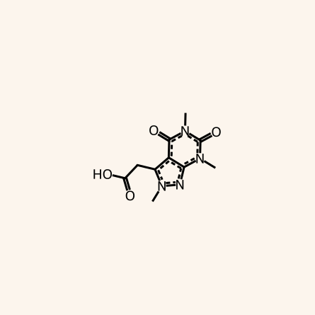 Cn1nc2c(c1CC(=O)O)c(=O)n(C)c(=O)n2C